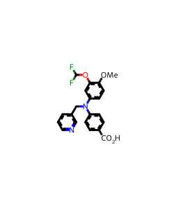 COc1ccc(N(Cc2cccnc2)c2ccc(C(=O)O)cc2)cc1OC(F)F